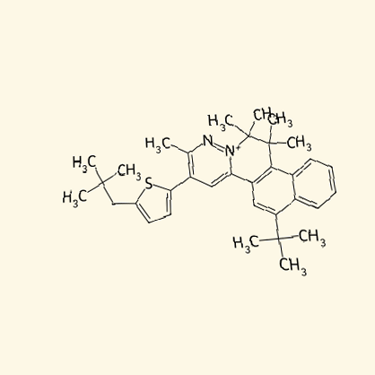 Cc1n[n+]2c(cc1-c1ccc(CC(C)(C)C)s1)-c1cc(C(C)(C)C)c3ccccc3c1C(C)(C)C2(C)C